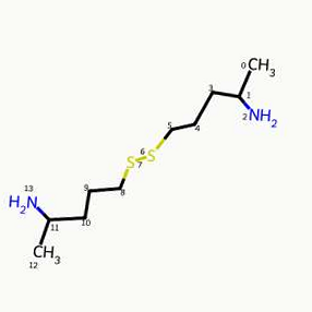 CC(N)CCCSSCCCC(C)N